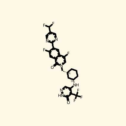 O=c1[nH]ncc(N[C@H]2CCC[C@@H](Cn3cc(F)c4cc(-c5ncc(C(F)F)cn5)c(F)cc4c3=O)C2)c1C(F)(F)F